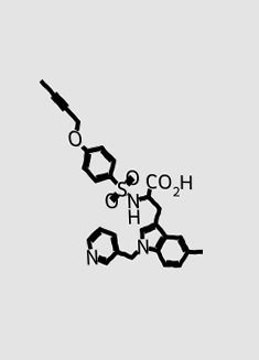 CC#CCOc1ccc(S(=O)(=O)NC(Cc2cn(Cc3cccnc3)c3ccc(C)cc23)C(=O)O)cc1